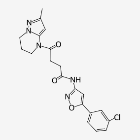 Cc1cc2n(n1)CCCN2C(=O)CCC(=O)Nc1cc(-c2cccc(Cl)c2)on1